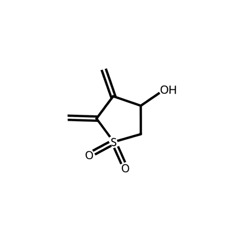 C=C1C(=C)S(=O)(=O)CC1O